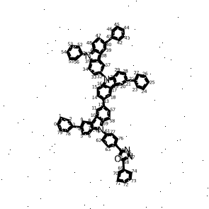 c1ccc(-c2ccc3c(c2)c2cc(-c4ccc5c(c4)c4cc(-c6ccccc6)ccc4n5-c4ccc5c(c4)c4cc(-c6ccccc6)ccc4n5-c4ccccc4)ccc2n3-c2ccc(-c3nnc(-c4ccccc4)o3)cc2)cc1